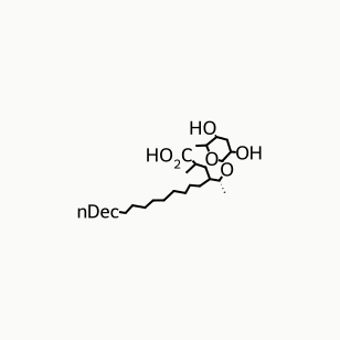 CCCCCCCCCCCCCCCCCCCC(CC(C)C(=O)O)[C@@H](C)O[C@@H]1OC(C)[C@H](O)CC1O